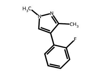 Cc1nn(C)cc1-c1ccccc1F